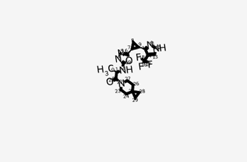 C[C@@H](Nc1nnc([C@H]2C[C@H]2c2n[nH]cc2C(F)(F)F)o1)C(=O)N1CCC2(CC1)CC2